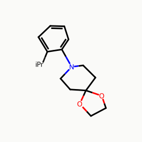 CC(C)c1ccccc1N1CCC2(CC1)OCCO2